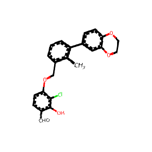 Cc1c(COc2ccc(C=O)c(O)c2Cl)cccc1-c1ccc2c(c1)OCCO2